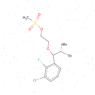 CCCC[C@H](CC)C(OCCOS(C)(=O)=O)c1cccc(Cl)c1F